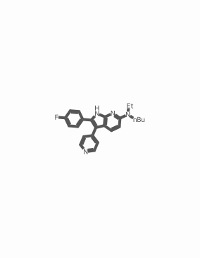 CCCCN(CC)c1ccc2c(-c3ccncc3)c(-c3ccc(F)cc3)[nH]c2n1